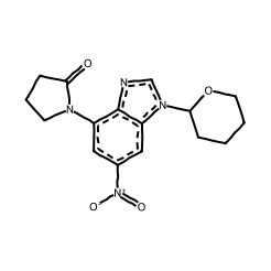 O=C1CCCN1c1cc([N+](=O)[O-])cc2c1ncn2C1CCCCO1